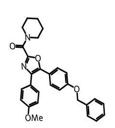 COc1ccc(-c2nc(C(=O)N3CCCCC3)oc2-c2ccc(OCc3ccccc3)cc2)cc1